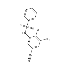 Cc1cc(C#N)cc(NS(=O)(=O)c2ccccc2)c1Br